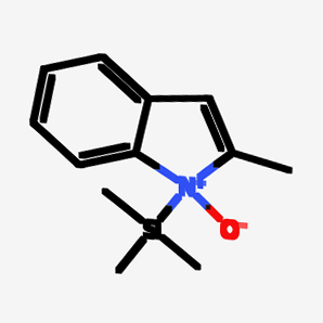 CC1=Cc2ccccc2[N+]1([O-])[Si](C)(C)C